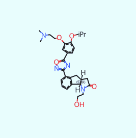 CC(C)Oc1ccc(-c2nc(-c3cccc4c3C[C@@H]3CC(=O)N(CCO)[C@H]43)no2)cc1OCCN(C)C